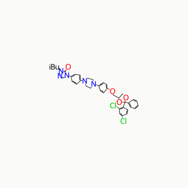 CCC(C)n1ncn(-c2ccc(N3CCN(c4ccc(OCC5COC(c6ccccc6)(c6ccc(Cl)cc6Cl)O5)cc4)CC3)cc2)c1=O